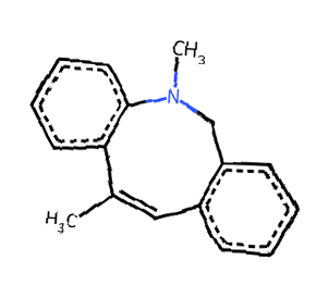 C/C1=C/c2ccccc2CN(C)c2ccccc21